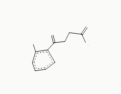 O=C(Br)CCC(=O)c1ccccc1Cl